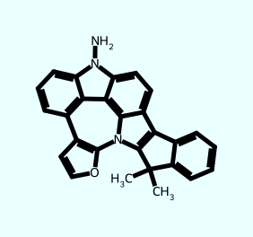 CC1(C)c2ccccc2-c2c1n1c3occc3c3cccc4c3c3c(ccc2c31)n4N